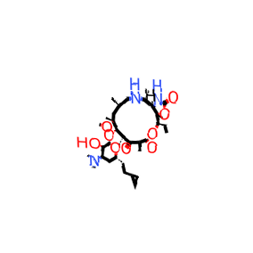 CC[C@H]1OC(=O)C(C)C(=O)[C@H](C)[C@@H](O[C@@H]2O[C@H](CCC3CC3)CC(N(C)C)[C@H]2O)[C@](C)(OC)C[C@@H](C)CN[C@H](C)[C@H]2NC(=O)O[C@@]21C